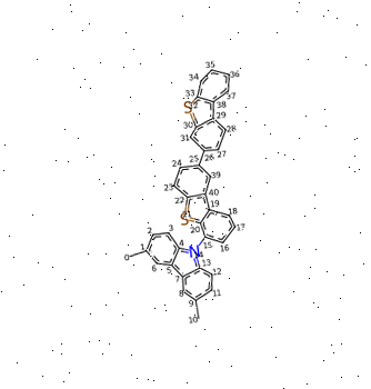 Cc1ccc2c(c1)c1cc(C)ccc1n2-c1cccc2c1sc1ccc(-c3ccc4c(c3)sc3ccccc34)cc12